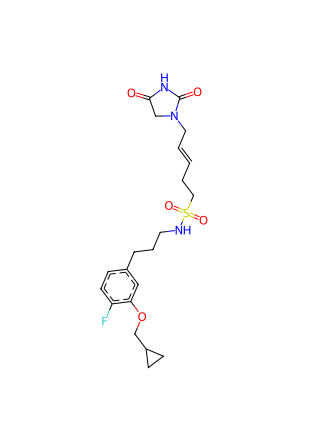 O=C1CN(C/C=C/CCS(=O)(=O)NCCCc2ccc(F)c(OCC3CC3)c2)C(=O)N1